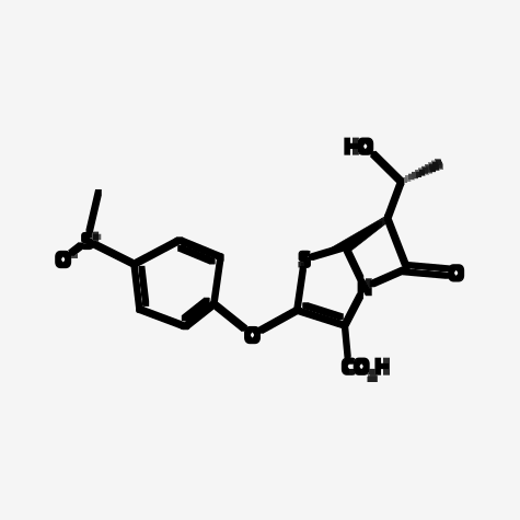 C[C@@H](O)[C@H]1C(=O)N2C(C(=O)O)=C(Oc3ccc([S+](C)[O-])cc3)SC12